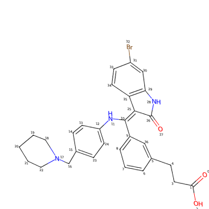 O=C(O)CCc1cccc(C(Nc2ccc(CN3CCCCC3)cc2)=C2C(=O)Nc3cc(Br)ccc32)c1